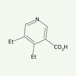 CCc1cncc(C(=O)O)c1CC